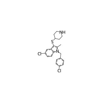 Cc1c(SC2CCNCC2)c2cc(Cl)ccc2n1Cc1ccc(Cl)cc1